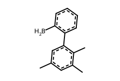 Bc1ccccc1-c1cc(C)cc(C)c1C